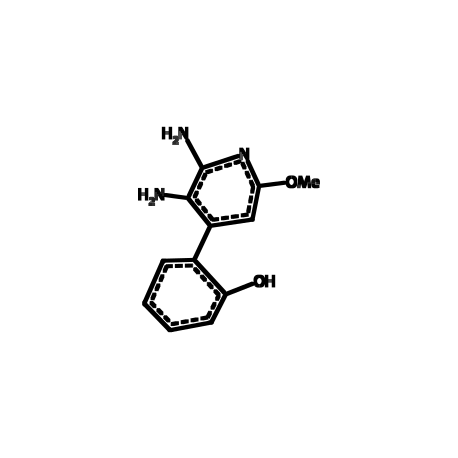 COc1cc(-c2ccccc2O)c(N)c(N)n1